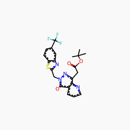 CC(C)(C)OC(=O)Cc1nn(Cc2nc3cc(C(F)(F)F)ccc3s2)c(=O)c2cccnc12